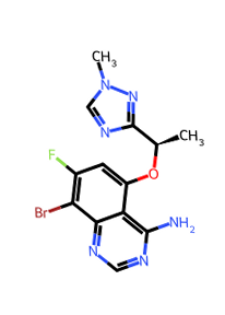 C[C@@H](Oc1cc(F)c(Br)c2ncnc(N)c12)c1ncn(C)n1